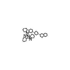 c1ccc2cc(-c3ccc(-c4ccc5c6ccccc6n(-c6nc7ccccc7c7nc8ccccc8n67)c5c4)cc3)ccc2c1